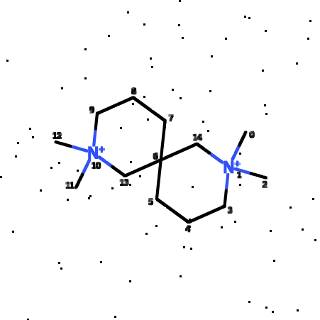 C[N+]1(C)CCCC2(CCC[N+](C)(C)C2)C1